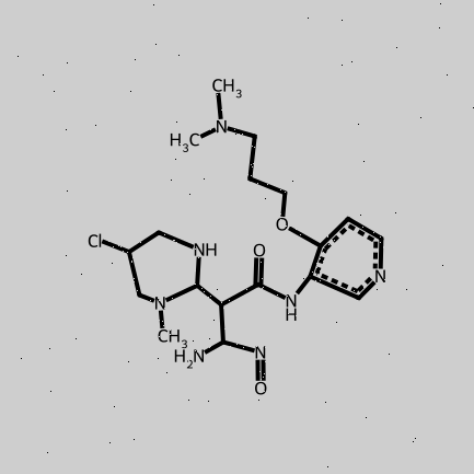 CN(C)CCCOc1ccncc1NC(=O)C(C(N)N=O)C1NCC(Cl)CN1C